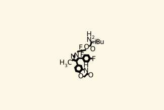 CC[C@H](C)[C@H](N)C(=O)OCC(F)(F)Cn1nc(C)c(-c2ccc3c(c2)NC(=O)CO3)c1-c1ccc(F)cc1